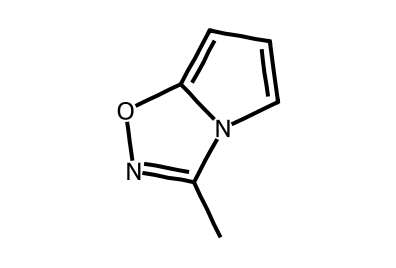 Cc1noc2cccn12